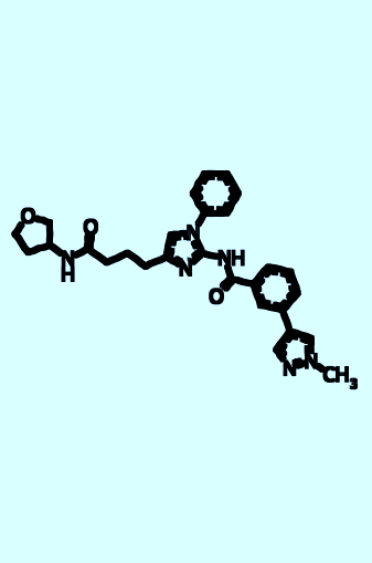 Cn1cc(-c2cccc(C(=O)Nc3nc(CCCC(=O)NC4CCOC4)cn3-c3ccccc3)c2)cn1